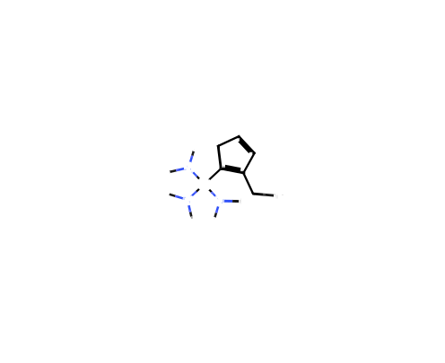 CC[N](CC)[Ti]([C]1=C(CC(C)C)C=CC1)([N](CC)CC)[N](CC)CC